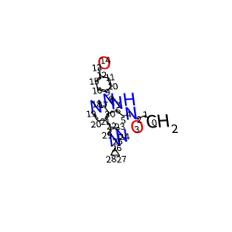 C=CC(=O)NCc1nn(-c2ccc(C=O)cc2)c2nccc(-c3cnn(C4CC4)c3)c12